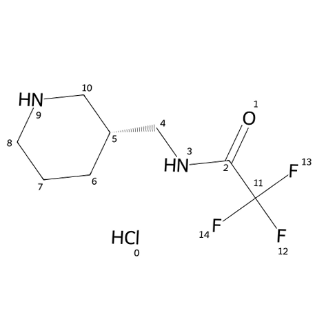 Cl.O=C(NC[C@@H]1CCCNC1)C(F)(F)F